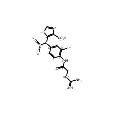 N=C(N)NCC(=O)Nc1ccc(N(c2scnc2C(=O)O)[SH](=O)=O)cc1F